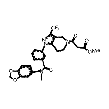 COC(=O)CC(=O)N1CCc2c(c(C(F)(F)F)nn2-c2cccc(C(=O)N(C)c3ccc4c(c3)OCO4)c2)C1